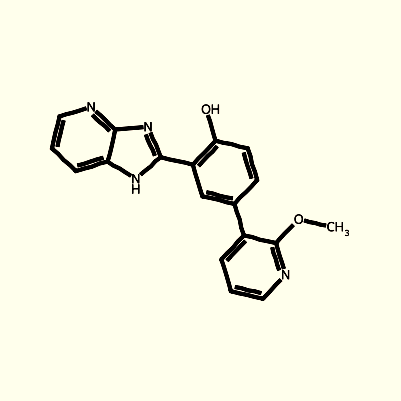 COc1ncccc1-c1ccc(O)c(-c2nc3ncccc3[nH]2)c1